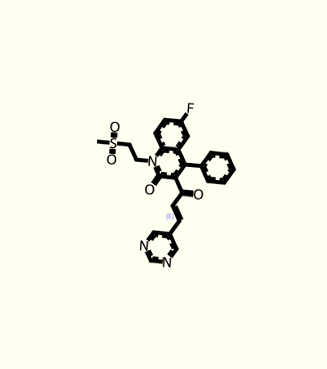 CS(=O)(=O)CCn1c(=O)c(C(=O)/C=C/c2cncnc2)c(-c2ccccc2)c2cc(F)ccc21